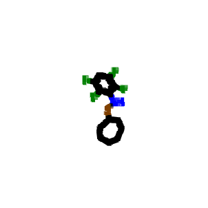 Fc1cc(F)c(F)c(NSC2CCCCCC2)c1F